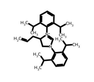 C=CCC1CN(c2c(C(C)C)cccc2C(C)C)C=[N+]1c1c(C(C)C)cccc1C(C)C